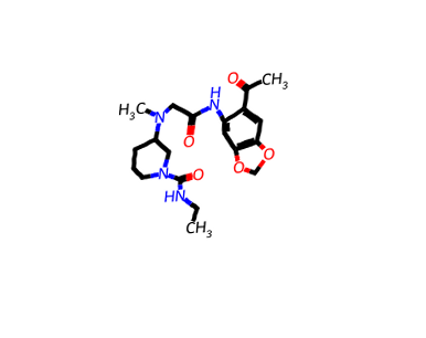 CCNC(=O)N1CCCC(N(C)CC(=O)Nc2cc3c(cc2C(C)=O)OCO3)C1